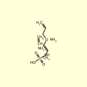 C=C.C=CCOC=CC.N.N.O=S(=O)(O)O